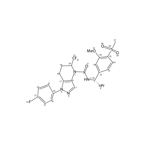 CCC[C@H](NC(=O)N1c2cnn(-c3ccc(F)cc3)c2CCC1C(F)(F)F)c1ccc(S(C)(=O)=O)c(OC)c1